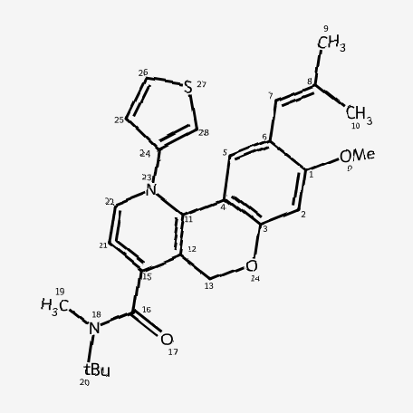 COc1cc2c(cc1C=C(C)C)C1=C(CO2)C(C(=O)N(C)C(C)(C)C)=C=CN1c1ccsc1